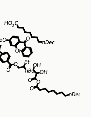 CCCCC(CC)COC(=O)c1ccc(N(C)C)cc1.CCCCCCCCCCCCCCCCCC(=O)O.CCCCCCCCCCCCCCCCCC(=O)OC(=O)C(O)CO.COc1ccc(C(=O)c2ccccc2)c(O)c1